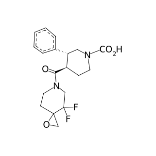 O=C(O)N1CC[C@@H](C(=O)N2CCC3(CO3)C(F)(F)C2)[C@H](c2ccccc2)C1